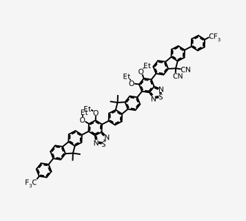 CCOc1c(OCC)c(-c2ccc3c(c2)C(C)(C)c2cc(-c4c(OCC)c(OCC)c(-c5ccc6c(c5)C(C#N)(C#N)c5cc(-c7ccc(C(F)(F)F)cc7)ccc5-6)c5nsnc45)ccc2-3)c2nsnc2c1-c1ccc2c(c1)C(C)(C)c1cc(-c3ccc(C(F)(F)F)cc3)ccc1-2